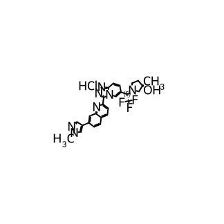 Cl.Cn1cc(-c2ccc3ccc(-c4nnc5ccc([C@H](N6CCC(C)(O)C6)C(F)(F)F)cn45)nc3c2)cn1